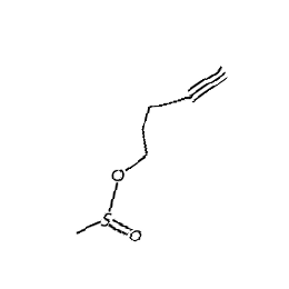 C#CCCOS(C)=O